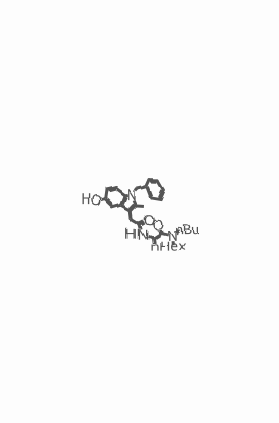 CCCCCCC(NC(=O)Cc1c(C)n(Cc2ccccc2)c2ccc(O)cc12)C(=O)N(C)CCCC